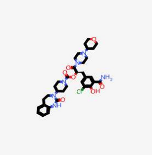 NC(=O)c1cc(C[C@@H](OC(=O)N2CCC(N3CCc4ccccc4NC3=O)CC2)C(=O)N2CCN(C3CCOCC3)CC2)cc(Cl)c1O